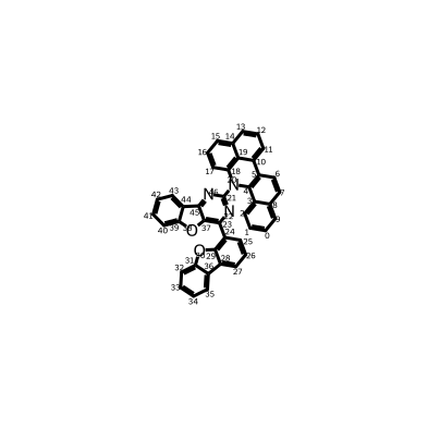 c1ccc2c3c(ccc2c1)-c1cccc2cccc(c12)N3c1nc(-c2cccc3c2oc2ccccc23)c2oc3ccccc3c2n1